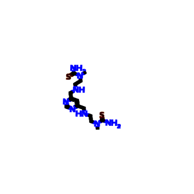 CN(CCNCc1cc(CNCCN(C)C(N)=S)ncn1)C(N)=S